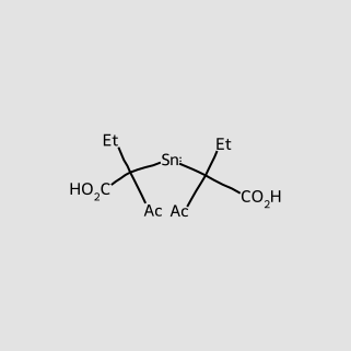 CC[C]([Sn][C](CC)(C(C)=O)C(=O)O)(C(C)=O)C(=O)O